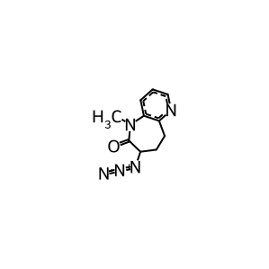 CN1C(=O)C(N=[N+]=[N-])CCc2ncccc21